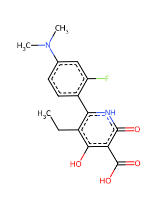 CCc1c(-c2ccc(N(C)C)cc2F)[nH]c(=O)c(C(=O)O)c1O